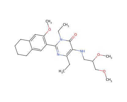 CCc1nc(-c2cc3c(cc2OC)CCCC3)n(CC)c(=O)c1NCC(COC)OC